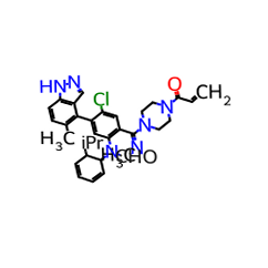 C=CC(=O)N1CCN(/C(=N/C)c2cc(Cl)c(-c3c(C)ccc4[nH]ncc34)cc2N(C=O)C2C=CC=CC2C(C)C)CC1